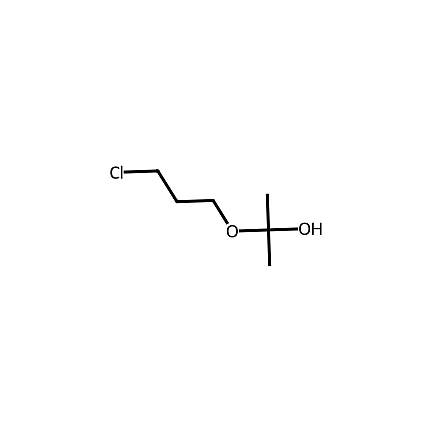 CC(C)(O)OCCCCl